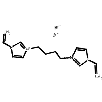 C=Cn1cc[n+](CCCC[n+]2ccn(C=C)c2)c1.[Br-].[Br-]